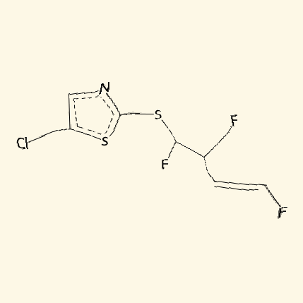 FC=CC(F)C(F)Sc1ncc(Cl)s1